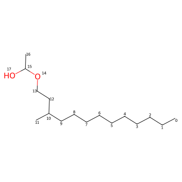 CCCCCCCCCCC(C)CCOC(C)O